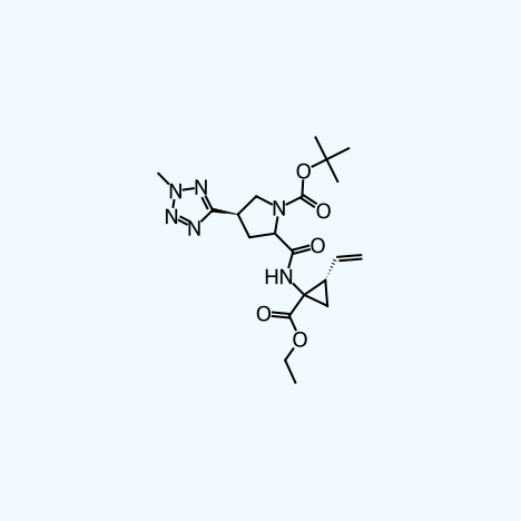 C=C[C@@H]1CC1(NC(=O)C1C[C@@H](c2nnn(C)n2)CN1C(=O)OC(C)(C)C)C(=O)OCC